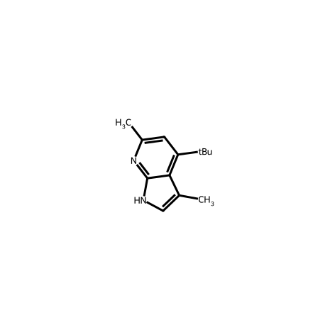 Cc1cc(C(C)(C)C)c2c(C)c[nH]c2n1